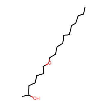 CCCCCCCCCCCOCCCCCC(C)O